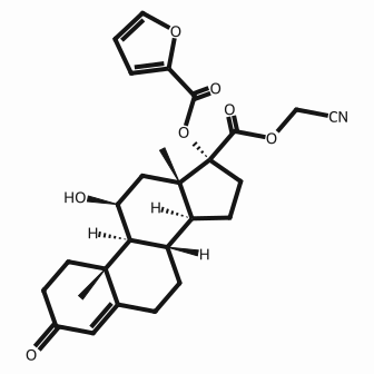 C[C@]12CCC(=O)C=C1CC[C@@H]1[C@@H]2[C@@H](O)C[C@@]2(C)[C@H]1CC[C@]2(OC(=O)c1ccco1)C(=O)OCC#N